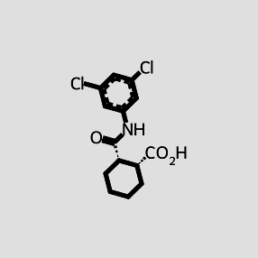 O=C(Nc1cc(Cl)cc(Cl)c1)[C@H]1CCCC[C@H]1C(=O)O